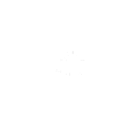 O[Si](O)(O)O.[Ag].[CaH2]